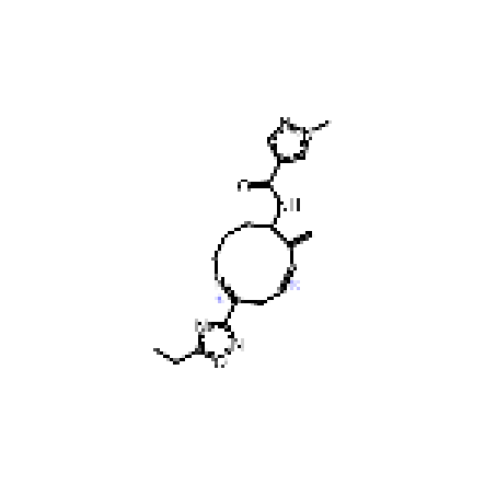 C=C1/C=C\C/C(c2noc(CC)n2)=N\CCCC1NC(=O)c1cnn(C)c1